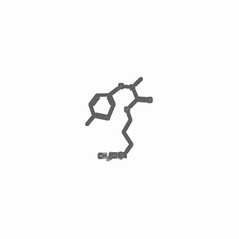 Cc1ccc(ON(C)C(=O)OCCCN(C)O)cc1